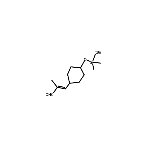 CC(C=O)=CC1CCC(O[Si](C)(C)C(C)(C)C)CC1